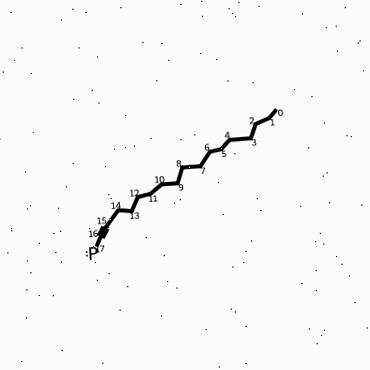 CCCCCCCCCCCCCCCC#C[P]